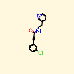 O=C(C#Cc1cccc(Cl)c1)NCCc1cccnc1